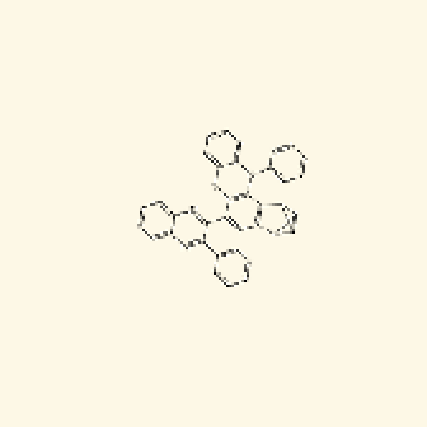 C1=CC2SC1c1cc(-c3nc4ccccc4nc3-c3ccccc3)c3c(c12)N(c1ccccc1)c1ccccc1S3